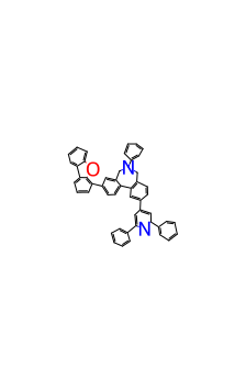 c1ccc(-c2cc(-c3ccc4c(c3)-c3ccc(-c5cccc6c5oc5ccccc56)cc3CN(c3ccccc3)C4)cc(-c3ccccc3)n2)cc1